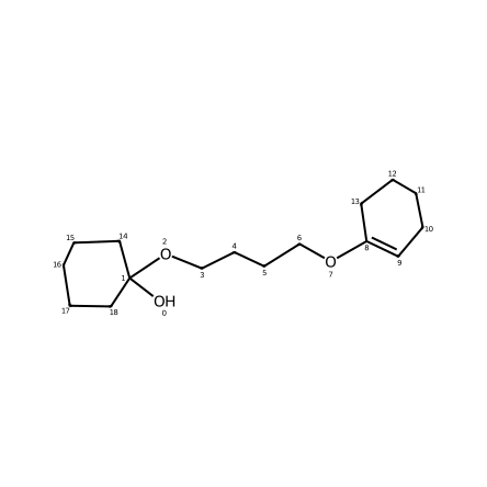 OC1(OCCCCOC2=CCCCC2)CCCCC1